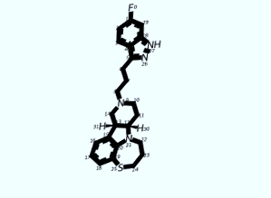 Fc1ccc2c(CCCN3CC[C@H]4[C@@H](C3)c3cccc5c3N4CCCS5)n[nH]c2c1